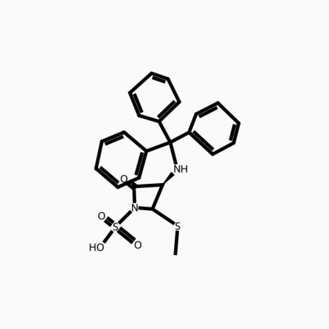 CSC1[C@H](NC(c2ccccc2)(c2ccccc2)c2ccccc2)C(=O)N1S(=O)(=O)O